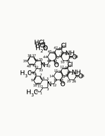 CCCCN(Cc1ccccc1)CC1CCc2cc(Cl)c3c(c2C1=O)CCC(=O)N3.CCCCN(Cc1ccccc1)CC1CCc2cc(Cl)c3c(c2C1=O)CCC(=O)N3.Cl.Cl.O